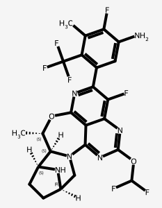 Cc1c(F)c(N)cc(-c2nc3c4c(nc(OC(F)F)nc4c2F)N2C[C@H]4CC[C@H](N4)[C@H]2[C@H](C)O3)c1C(F)(F)F